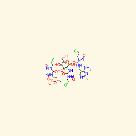 CCOP(=O)(OCC)C(C)NC(=O)N(CCCl)N=O.Cc1ncc(CNC(=O)N(CCCl)N=O)c(N)n1.O=NN(CCCl)C(=O)N[C@@H]1[C@@H](O)[C@H](O)[C@@H](CO)O[C@@H]1O